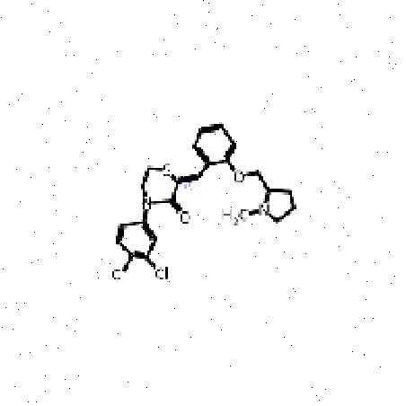 CN1CCCC1COc1ccccc1/C=C1\SCCN(c2ccc(Cl)c(Cl)c2)C1=O